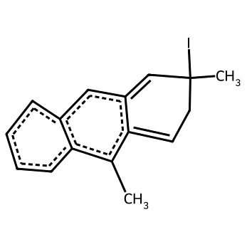 Cc1c2c(cc3ccccc13)=CC(C)(I)CC=2